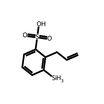 C=CCc1c([SiH3])cccc1S(=O)(=O)O